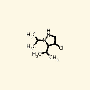 CC(C)C1C(Cl)CNN1C(C)C